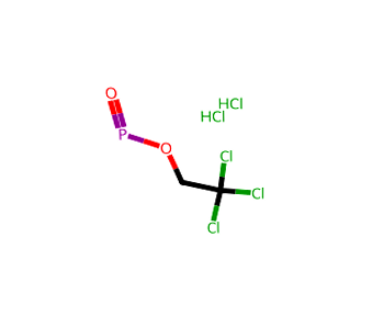 Cl.Cl.O=POCC(Cl)(Cl)Cl